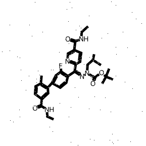 CCNC(=O)c1ccc(C(=NN(CC(C)C)C(=O)OC(C)(C)C)c2ccc(-c3cc(C(=O)NCC)ccc3C)cc2F)nc1